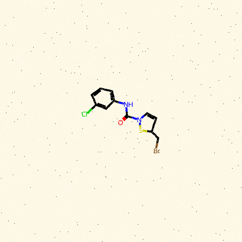 O=C(Nc1cccc(Cl)c1)N1C=CC(CBr)S1